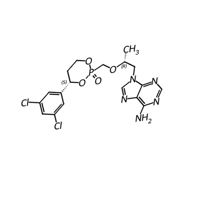 C[C@H](Cn1cnc2c(N)ncnc21)OCP1(=O)OCC[C@@H](c2cc(Cl)cc(Cl)c2)O1